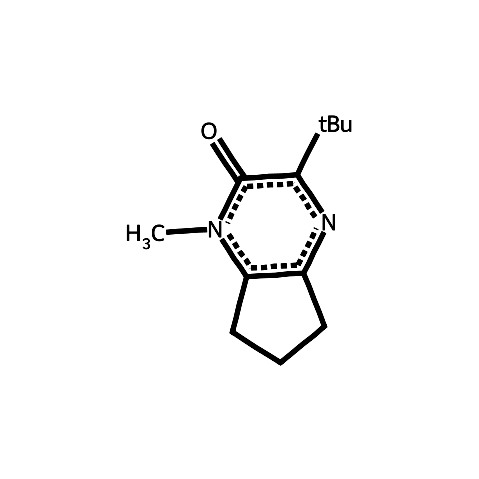 Cn1c2c(nc(C(C)(C)C)c1=O)CCC2